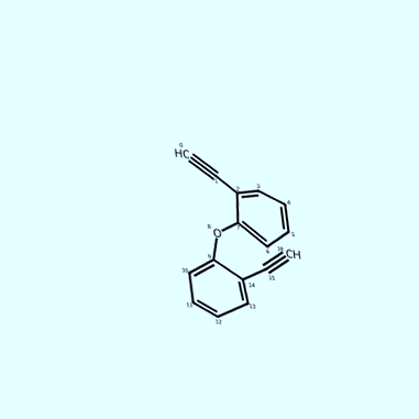 C#Cc1ccccc1Oc1ccccc1C#C